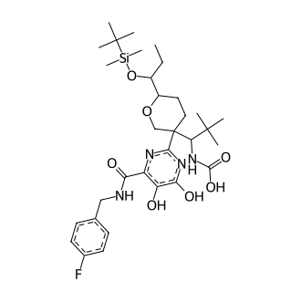 CCC(O[Si](C)(C)C(C)(C)C)C1CCC(c2nc(O)c(O)c(C(=O)NCc3ccc(F)cc3)n2)(C(NC(=O)O)C(C)(C)C)CO1